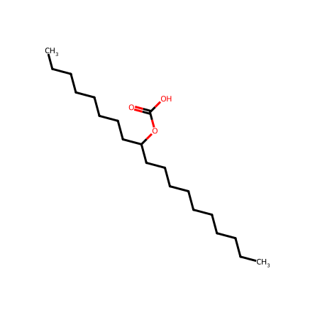 CCCCCCCCCCC(CCCCCCCC)OC(=O)O